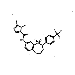 Cc1ncc(C(=O)Nc2ccc3c(c2)S(=O)(=O)N(c2ccc(C(F)(F)F)cc2)CCO3)n1C